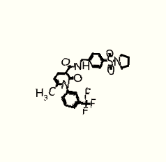 Cc1ccc(C(=O)NCc2ccc(S(=O)(=O)N3CCCC3)cc2)c(=O)n1-c1cccc(C(F)(F)F)c1